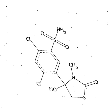 CN1C(=O)SCC1(O)c1cc(S(N)(=O)=O)c(Cl)cc1Cl